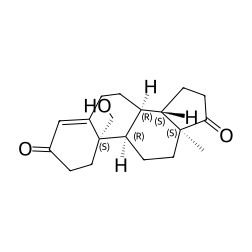 C[C@]12CC[C@@H]3[C@@H](CCC4=CC(=O)CC[C@@]43CO)[C@@H]1CCC2=O